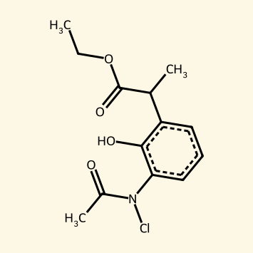 CCOC(=O)C(C)c1cccc(N(Cl)C(C)=O)c1O